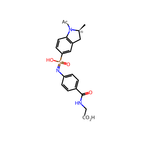 CC(=O)N1c2ccc(S(=O)(O)=Nc3ccc(C(=O)NCC(=O)O)cc3)cc2C[C@@H]1C